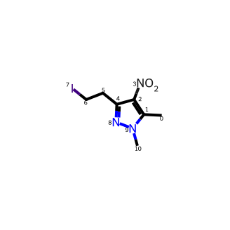 Cc1c([N+](=O)[O-])c(CCI)nn1C